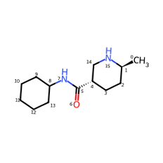 C[C@H]1CC[C@H](C(=O)NC2CCCCC2)CN1